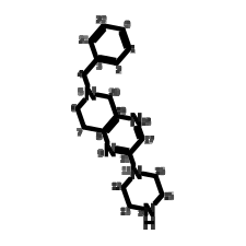 c1ccc(CN2CCc3nc(N4CCNCC4)cnc3C2)cc1